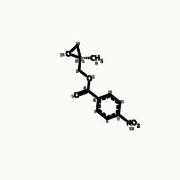 C[C@@]1(COC(=O)c2ccc([N+](=O)[O-])cc2)CO1